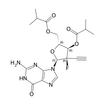 C#C[C@@]1(F)[C@H](OC(=O)C(C)C)[C@@H](COC(=O)C(C)C)O[C@@H]1n1cnc2c(=O)[nH]c(N)nc21